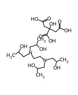 CC(O)CN(CCN(CC(C)O)CC(C)O)CC(C)O.O=C(O)CC(O)(CC(=O)O)C(=O)O